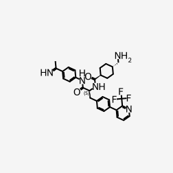 CC(=N)c1ccc(NC(=O)[C@H](Cc2ccc(-c3cccnc3C(F)(F)F)cc2)NC(=O)[C@H]2CC[C@H](CN)CC2)cc1